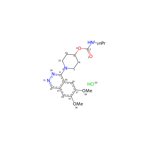 CCCNC(=O)OC1CCN(c2nncc3cc(OC)c(OC)cc23)CC1.Cl